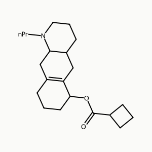 CCCN1CCCC2CC3=C(CCCC3OC(=O)C3CCC3)CC21